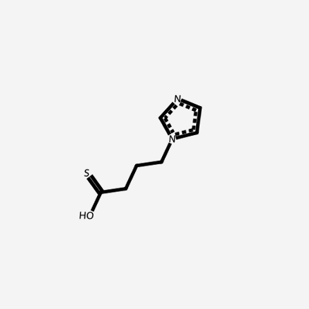 OC(=S)CCCn1ccnc1